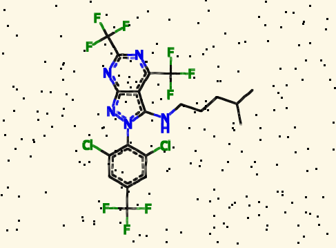 CC(C)CCCNc1c2c(C(F)(F)F)nc(C(F)(F)F)nc2nn1-c1c(Cl)cc(C(F)(F)F)cc1Cl